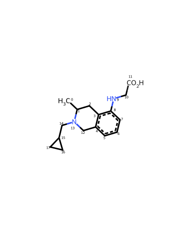 CC1Cc2c(cccc2NCC(=O)O)CN1CC1CC1